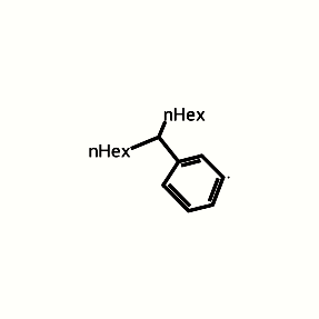 CCCCCCC(CCCCCC)c1c[c]ccc1